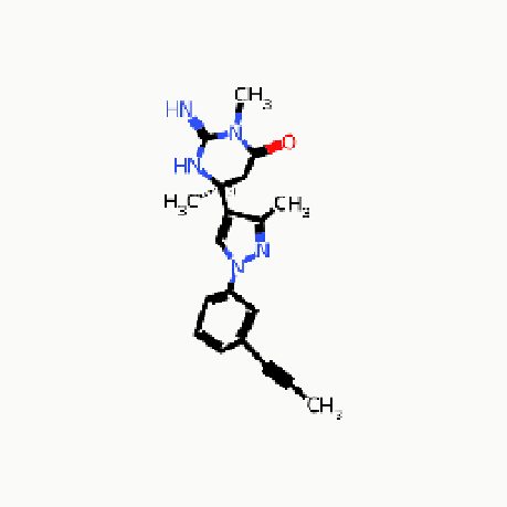 CC#Cc1cccc(-n2cc([C@]3(C)CC(=O)N(C)C(=N)N3)c(C)n2)c1